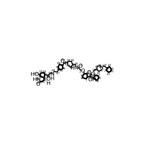 O=C(COc1cccc(C(O)(C(=O)OCC2CCN(Cc3ccccc3)CC2)c2ccccc2)c1)NCC1CCN(C(=O)c2ccc(CCNC[C@H](O)c3ccc(O)c4[nH]c(=O)ccc34)cc2)CC1